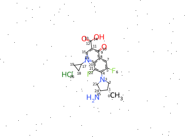 C[C@H]1CN(c2c(F)cc3c(=O)c(C(=O)O)cn(C4CC4)c3c2F)C[C@H]1N.Cl